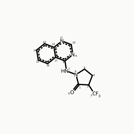 O=C1C(C(F)(F)F)CCN1Nc1ncnc2ccccc12